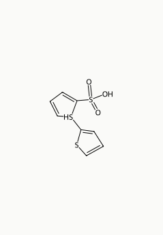 O=S(=O)(O)C1=CC=C[SH]1c1cccs1